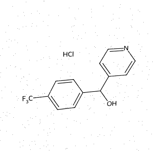 Cl.OC(c1ccncc1)c1ccc(C(F)(F)F)cc1